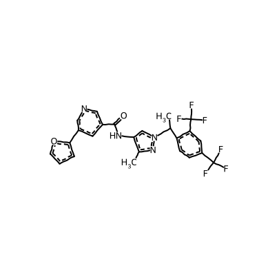 Cc1nn(C(C)c2ccc(C(F)(F)F)cc2C(F)(F)F)cc1NC(=O)c1cncc(-c2ccco2)c1